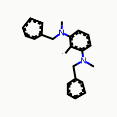 [CH2]c1c(N(C)Cc2ccccc2)cccc1N(C)Cc1ccccc1